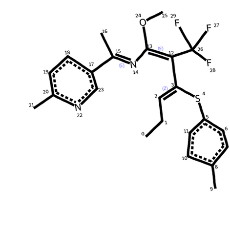 CC/C=C(Sc1ccc(C)cc1)/C(=C(\N=C(/C)c1ccc(C)nc1)OC)C(F)(F)F